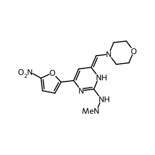 CNNC1=NC(c2ccc([N+](=O)[O-])o2)=CC(=CN2CCOCC2)N1